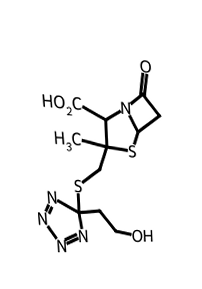 CC1(CSC2(CCO)N=NN=N2)SC2CC(=O)N2C1C(=O)O